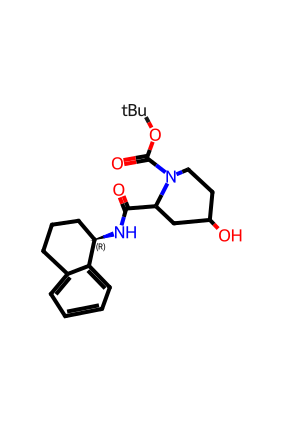 CC(C)(C)OC(=O)N1CCC(O)CC1C(=O)N[C@@H]1CCCc2ccccc21